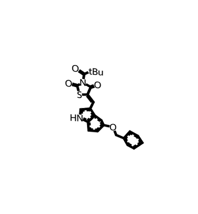 CC(C)(C)C(=O)N1C(=O)SC(=Cc2c[nH]c3ccc(OCc4ccccc4)cc23)C1=O